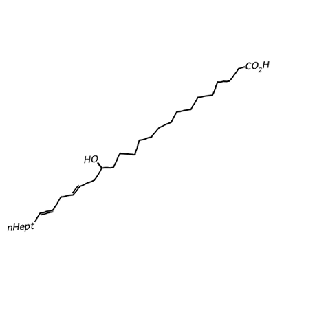 CCCCCCCC=CCC=CCC(O)CCCCCCCCCCCCCCC(=O)O